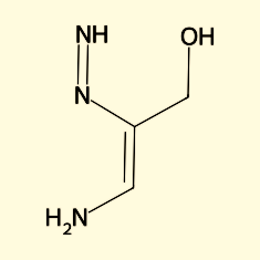 N=N/C(=C\N)CO